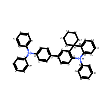 c1ccc(N(c2ccccc2)c2ccc(-c3ccc4c(c3)C3(CCCCC3)c3ccccc3N4c3ccccc3)cc2)cc1